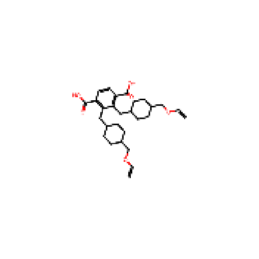 C=COCC1CCC(Cc2c(C(=O)O)ccc(C(=O)O)c2CC2CCC(COC=C)CC2)CC1